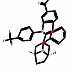 NC(=O)c1ccc2cc(C3C[C@H]4CC[C@@H](C3)N4Cc3ccccc3)n(-c3ccc(C(F)(F)F)cc3)c2c1